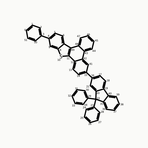 c1ccc(-c2ccc3c(c2)sc2c4ccc(-c5ccc6c(c5)C(c5ccccc5)(c5ccccc5)c5ccccc5-6)cc4c4ccccc4c32)cc1